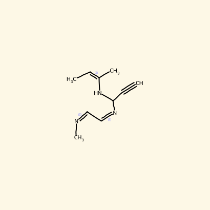 C#CC(/N=C\C=N/C)N/C(C)=C\C